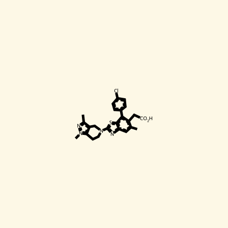 Cc1cc2nc(N3CCc4c(c(C)nn4C)C3)sc2c(-c2ccc(Cl)cc2)c1CC(=O)O